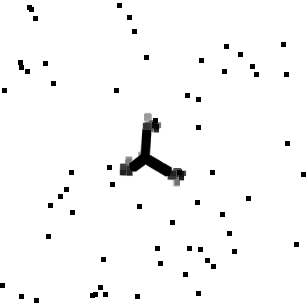 [CH2]CCC(CC)CCC